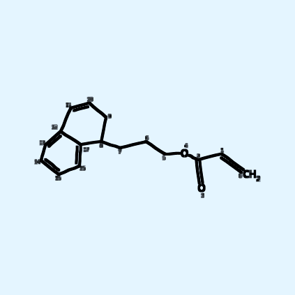 C=CC(=O)OCCCC1CC=Cc2ccccc21